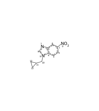 O=[N+]([O-])c1ccc2c(c1)ncn2CC1CC1